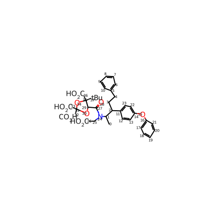 CC(C(CCc1ccccc1)c1ccc(Oc2ccccc2)cc1)N(CC(=O)O)C(=O)C1OC(C(=O)O)(C(=O)O)OC1(C(=O)O)C(C)(C)C